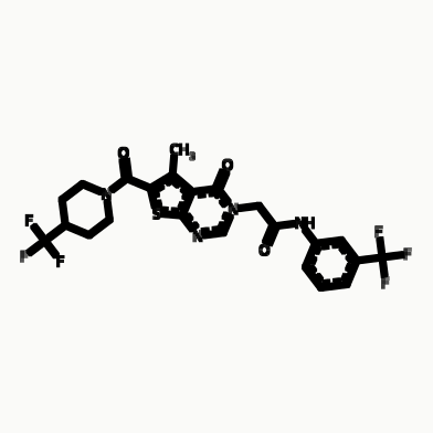 Cc1c(C(=O)N2CCC(C(F)(F)F)CC2)sc2ncn(CC(=O)Nc3cccc(C(F)(F)F)c3)c(=O)c12